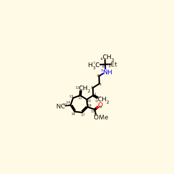 C=C(CCCNC(C)(C)CC)C1C(=C)CC(C#N)=CC=C1C(=O)OC